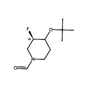 CC(C)(C)OC1CCN(C=O)C[C@H]1F